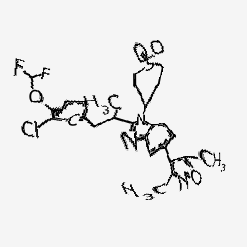 Cc1noc(C)c1-c1ccc2c(c1)nc(C(C)Cc1ccc(OC(F)F)c(Cl)c1)n2C1CCS(=O)(=O)CC1